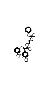 O=C(OCCOC(=O)C(Oc1cccc(C(F)(F)F)c1)c1ccc(Cl)cc1)OC1CCCCC1